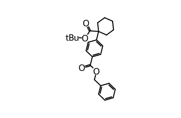 CC(C)(C)OC(=O)C1(c2ccc(C(=O)OCc3ccccc3)cc2)CCCCC1